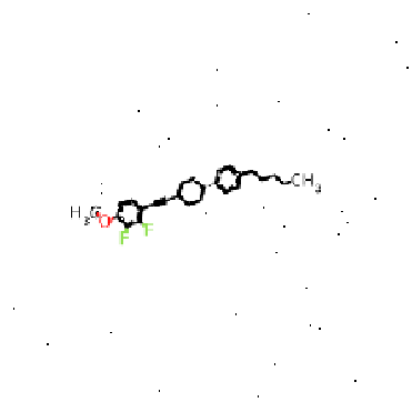 CCCCCc1ccc([C@H]2CC[C@H](C#Cc3ccc(OC)c(F)c3F)CC2)cc1